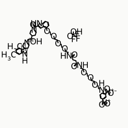 Cc1ccc2c(c1)NC[C@]21CCN(C[C@@H](O)C2CCN(C(=O)c3cc4c(OCCOCCOCCOCCNC(=O)CCC(=O)NCCOCCOCCOCCNc5ccc([N+](=O)[O-])cc5[N+](=O)[O-])cccc4[nH]3)CC2)C[C@H]1C.O=C(O)C(F)(F)F